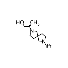 C=C(CO)N1CCC2(CCN(C(C)C)C2)C1